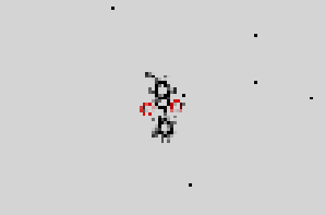 Cc1ccc2c(c1)C(=O)C(c1ccccc1)C2=O